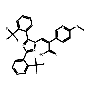 COc1ccc(C(=Cn2nc(-c3ccccc3C(F)(F)F)nc2-c2ccccc2C(F)(F)F)C(=O)O)cn1